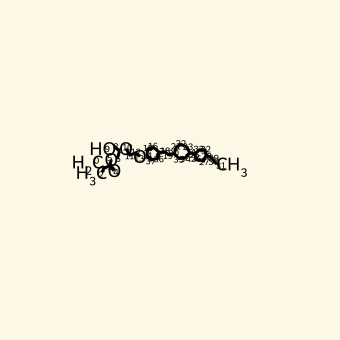 C=C(C)C(=O)OCC(CO)OCCOc1ccc(CCC2CCCC(C3CCC(CCC)CC3)CC2)cc1